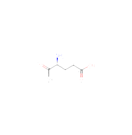 N[C@@H](CCC(=O)O)[C](=O)[Sn]